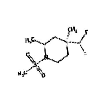 CC1C[C@@](C)(C(F)F)CCN1S(C)(=O)=O